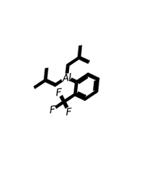 CC(C)[CH2][Al]([CH2]C(C)C)[c]1ccccc1C(F)(F)F